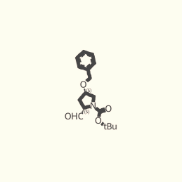 CC(C)(C)OC(=O)N1C[C@@H](OCc2ccccc2)C[C@H]1C=O